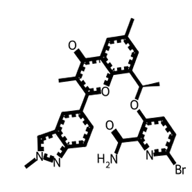 Cc1cc([C@@H](C)Oc2ccc(Br)nc2C(N)=O)c2oc(-c3ccc4nn(C)cc4c3)c(C)c(=O)c2c1